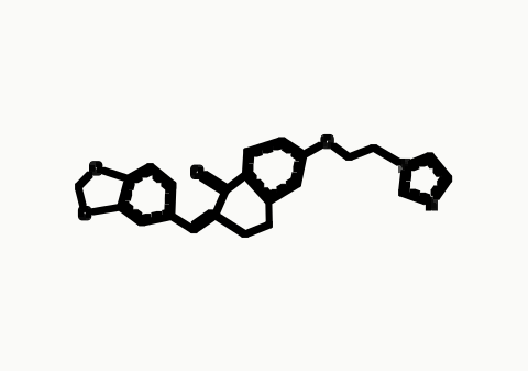 O=C1C(=Cc2ccc3c(c2)OCO3)CCc2cc(OCCn3ccnc3)ccc21